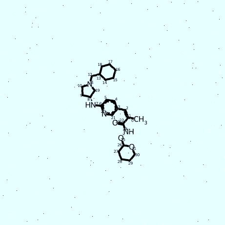 CC(=Cc1ccc(N[C@@H]2CCN(CC3CCCCC3)C2)nc1)C(=O)NOC1CCCCO1